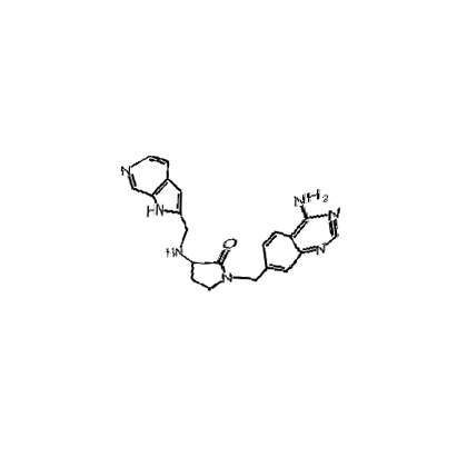 Nc1ncnc2cc(CN3CCC(NCc4cc5ccncc5[nH]4)C3=O)ccc12